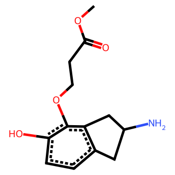 COC(=O)CCOc1c(O)ccc2c1CC(N)C2